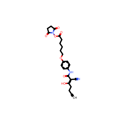 C#CCC/C(O)=C(\C#N)C(=O)Nc1ccc(OCCCCCC(=O)ON2C(=O)CCC2=O)cc1